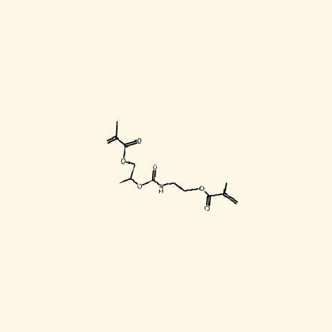 C=C(C)C(=O)OCCNC(=O)OC(C)COC(=O)C(=C)C